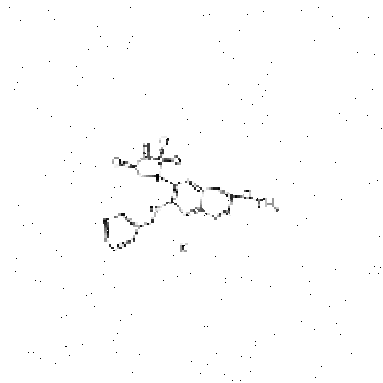 COc1ccc2cc(OCc3ccccc3)c(N3CC(=O)NS3(=O)=O)cc2c1.[K]